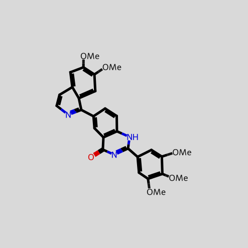 COc1cc2ccnc(-c3ccc4[nH]c(-c5cc(OC)c(OC)c(OC)c5)nc(=O)c4c3)c2cc1OC